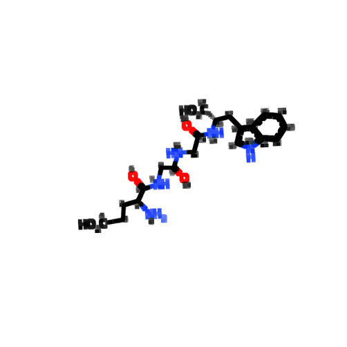 N[C@@H](CCC(=O)O)C(=O)NCC(=O)NCC(=O)N[C@@H](Cc1c[nH]c2ccccc12)C(=O)O